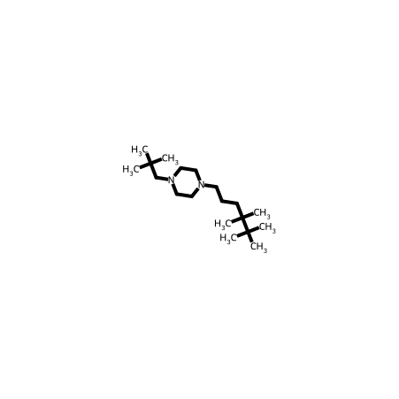 CC(C)(C)CN1CCN(CCCC(C)(C)C(C)(C)C)CC1